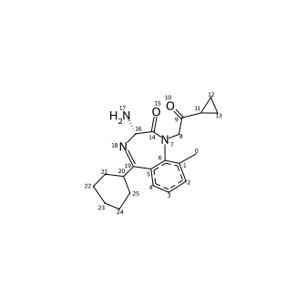 Cc1cccc2c1N(CC(=O)C1CC1)C(=O)[C@@H](N)N=C2C1CCCCC1